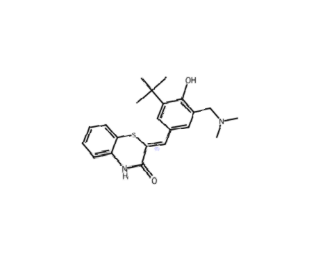 CN(C)Cc1cc(/C=C2\Sc3ccccc3NC2=O)cc(C(C)(C)C)c1O